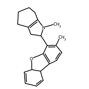 Cc1ccc2c(c1C1CC3=C(CCCC3)N1C)OC1C=CC=CC21